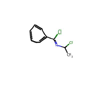 FC(F)(F)C(Cl)N=C(Cl)c1ccccc1